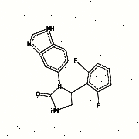 O=C1NCC(c2c(F)cccc2F)N1c1ccc2[nH]cnc2c1